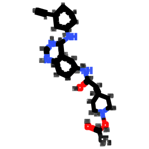 C#Cc1cccc(Nc2ncnc3ccc(NC(=O)C=C4CCN(OC(=O)C(F)(F)F)CC4)cc23)c1